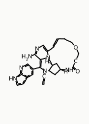 C=C=N/C(=C1/C(N)=NC=C2/C=C/CCOCCC(=O)N[C@@H]3CC[C@H](C3)N21)c1cnc2[nH]ccc2c1